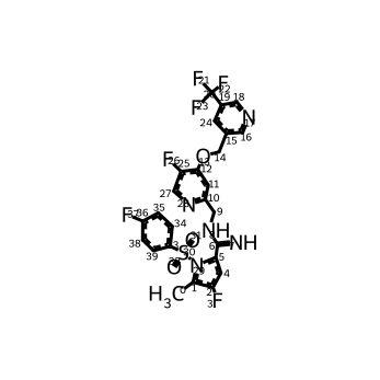 Cc1c(F)cc(C(=N)NCc2cc(OCc3cncc(C(F)(F)F)c3)c(F)cn2)n1S(=O)(=O)c1ccc(F)cc1